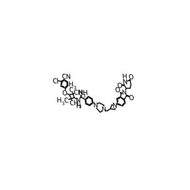 CC1(C)C(NC(=N)c2ccc(N3CCN(CC4CN(c5ccc6c(c5)C(=O)N(C5CCC(=O)NC5=O)C6=O)C4)CC3)cc2)C(C)(C)C1Oc1ccc(C#N)c(Cl)c1